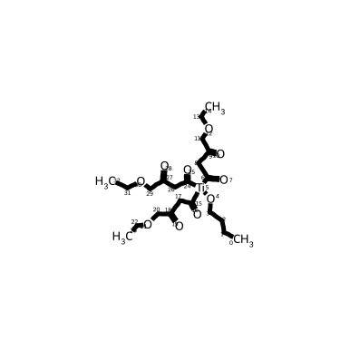 CCCC[O][Ti]([C](=O)CC(=O)COCC)([C](=O)CC(=O)COCC)[C](=O)CC(=O)COCC